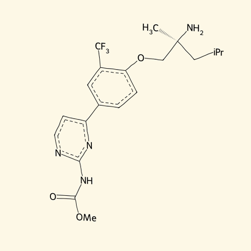 COC(=O)Nc1nccc(-c2ccc(OC[C@@](C)(N)CC(C)C)c(C(F)(F)F)c2)n1